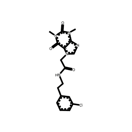 Cn1c(=O)c2c(ncn2CC(=O)NCCc2cccc(Cl)c2)n(C)c1=O